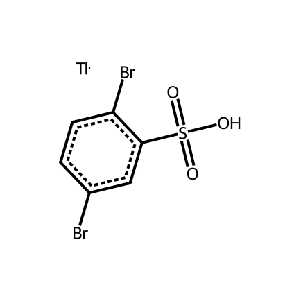 O=S(=O)(O)c1cc(Br)ccc1Br.[Tl]